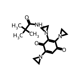 CC(C)(C)C(N)=O.O=C1C=C(N2CC2)C(=O)C(N2CC2)=C1N1CC1